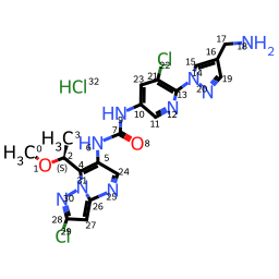 CO[C@@H](C)c1c(NC(=O)Nc2cnc(-n3cc(CN)cn3)c(Cl)c2)cnc2cc(Cl)nn12.Cl